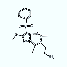 CSc1nn2c(C)c(CCN)c(C)nc2c1S(=O)(=O)c1ccccc1